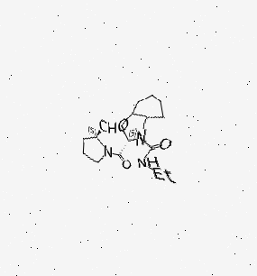 CCNC(=O)N1C2CCCCC2C[C@H]1C(=O)N1CCC[C@H]1C=O